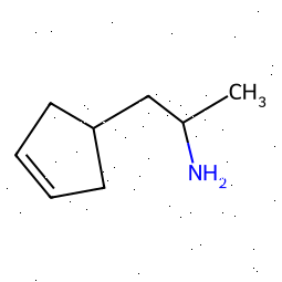 CC(N)CC1CC=CC1